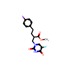 COC(=O)C(CCc1ccc(I)cc1)Cn1cc(F)c(=O)[nH]c1=O